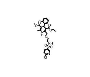 CCOC(=O)C1=C(COCCNS(=O)(=O)c2ccc(Cl)nc2)NC(C)=C(C(=O)OC)C1c1ccccc1Cl